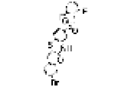 O=C1Nc2cc(S(=O)(=O)Cc3c(F)cccc3F)ccc2S/C1=C/c1ccc(Br)cc1